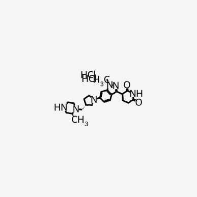 C[C@H]1CNCCN1C[C@@H]1CCN(c2ccc3c(C4CCC(=O)NC4=O)nn(C)c3c2)C1.Cl.Cl